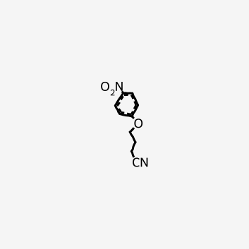 N#CCCCOc1ccc([N+](=O)[O-])cc1